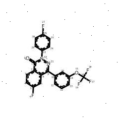 O=c1c2ccc(F)cc2c(-c2cccc(OC(F)(F)F)c2)nn1-c1ccc(F)cc1